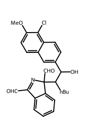 CCCCC(C(O)c1ccc2c(Cl)c(OC)ccc2c1)C1(C=O)N=C(C=O)c2ccccc21